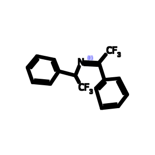 FC(F)(F)/C(=N/C(c1ccccc1)C(F)(F)F)c1ccccc1